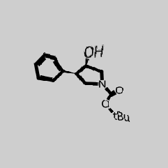 CC(C)(C)OC(=O)N1C[C@H](O)[C@H](c2ccccc2)C1